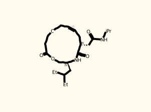 CCC(CC)C[C@H]1COC(=O)CCCC/C=C\C[C@H](CC(=O)NC(C)C)C(=O)N1